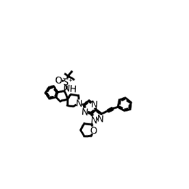 CC(C)(C)[S+]([O-])N[C@@H]1c2ccccc2CC12CCN(c1cnc3c(C#Cc4ccccc4)nn(C4CCCCO4)c3n1)CC2